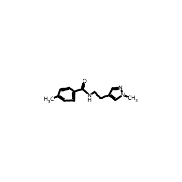 Cc1ccc(C(=O)NCCc2cnn(C)c2)cc1